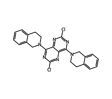 Clc1nc(N2CCc3ccccc3C2)c2nc(Cl)nc(N3CCc4ccccc4C3)c2n1